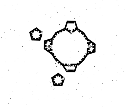 C1=Cc2cc3ccc(cc4nc(cc5ccc(cc1n2)[nH]5)C=C4)[nH]3.c1ccsc1.c1ccsc1